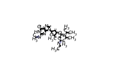 C/C=N\c1nc2c(ncn2C2C[C@@H](OP(O/C=N/CC)N(C(C)C)C(C)C)C(C)O2)c(=O)[nH]1